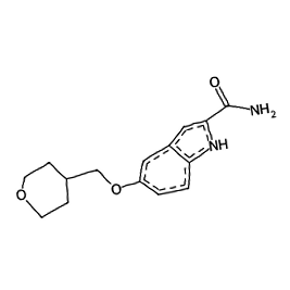 NC(=O)c1cc2cc(OCC3CCOCC3)ccc2[nH]1